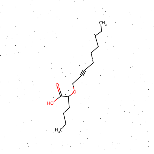 CCCCCCC#CCOC(CCCC)C(=O)O